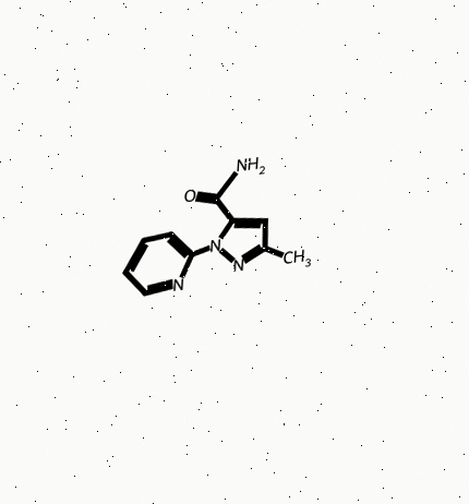 Cc1cc(C(N)=O)n(-c2ccccn2)n1